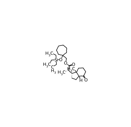 CC[Si](CC)(CC)OC1(COC(=O)[C@@H](C)[C@H]2CC[C@H]3C(=O)CCC[C@@]23C)CCCCCC1